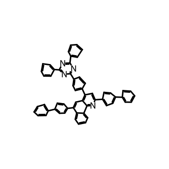 c1ccc(-c2ccc(-c3cc(-c4ccc(-c5nc(-c6ccccc6)nc(-c6ccccc6)n5)cc4)c4cc(-c5ccc(-c6ccccc6)cc5)c5ccccc5c4n3)cc2)cc1